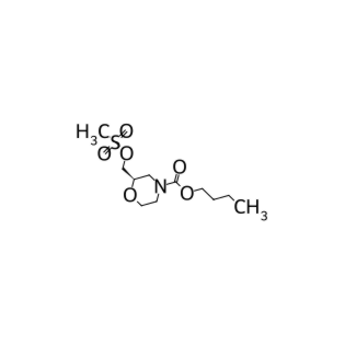 CCCCOC(=O)N1CCO[C@@H](COS(C)(=O)=O)C1